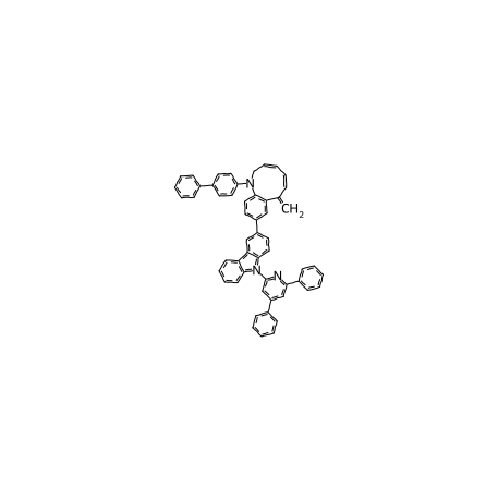 C=C1/C=C\C=C/CN(c2ccc(-c3ccccc3)cc2)c2ccc(-c3ccc4c(c3)c3ccccc3n4-c3cc(-c4ccccc4)cc(-c4ccccc4)n3)cc21